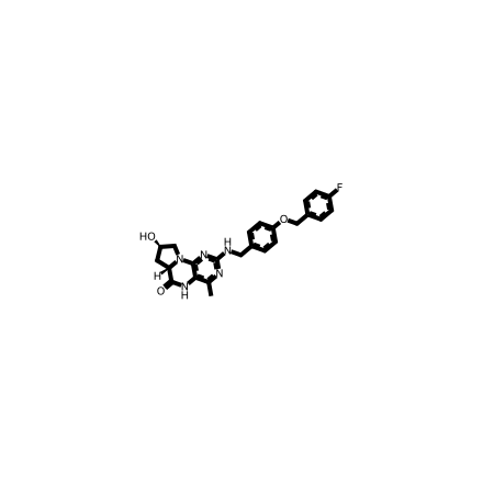 Cc1nc(NCc2ccc(OCc3ccc(F)cc3)cc2)nc2c1NC(=O)[C@@H]1C[C@@H](O)CN21